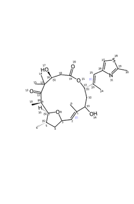 C/C1=C\C2C[C@H](C)[C@H](O2)[C@@H](C)C(=O)C(C)(C)[C@@H](O)CC(=O)O[C@H](/C(C)=C/c2csc(C)n2)CC1O